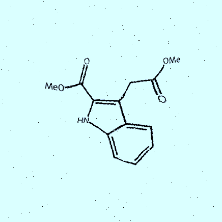 COC(=O)Cc1c(C(=O)OC)[nH]c2ccccc12